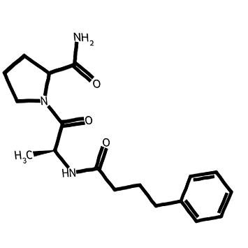 C[C@H](NC(=O)CCCc1ccccc1)C(=O)N1CCCC1C(N)=O